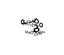 COc1cc([C@@H](C(=O)N2CCCC[C@]2(C(=O)O)[C@@H](C)COCc2ccccc2)C2CCCCC2)cc(OC)c1OC